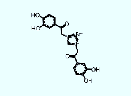 O=C(Cn1cc[n+](CC(=O)c2ccc(O)c(O)c2)c1)c1ccc(O)c(O)c1.[Br-]